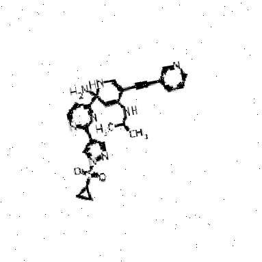 CC(C)NC1=CC(N)(c2ccnc(-c3cnn(S(=O)(=O)C4CC4)c3)n2)NC=C1C#Cc1cccnc1